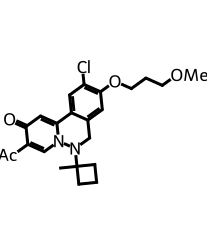 COCCCOc1cc2c(cc1Cl)-c1cc(=O)c(C(C)=O)cn1N(C1(C)CCC1)C2